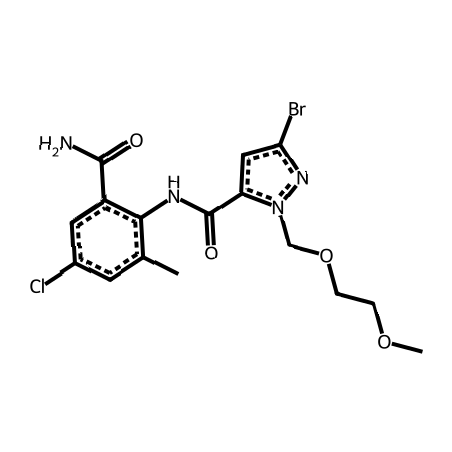 COCCOCn1nc(Br)cc1C(=O)Nc1c(C)cc(Cl)cc1C(N)=O